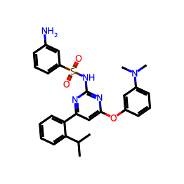 CC(C)c1ccccc1-c1cc(Oc2cccc(N(C)C)c2)nc(NS(=O)(=O)c2cccc(N)c2)n1